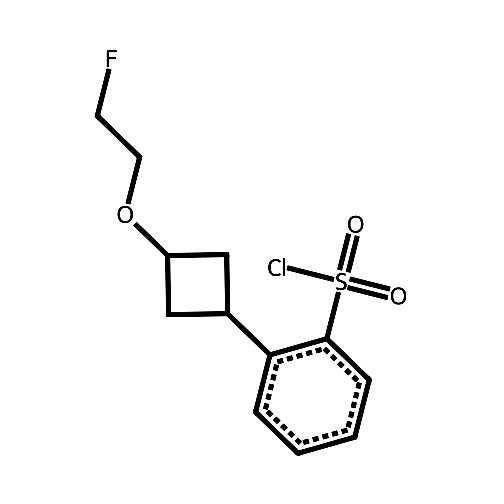 O=S(=O)(Cl)c1ccccc1C1CC(OCCF)C1